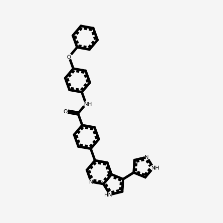 O=C(Nc1ccc(Oc2ccccc2)cc1)c1ccc(-c2cnc3[nH]cc(-c4cn[nH]c4)c3c2)cc1